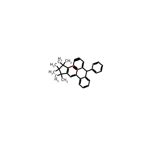 CC1(C)c2ccc(-c3ccccc3C(c3cc#ccc3)c3ccccc3)cc2C(C)(C)C1(C)C